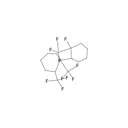 FC(F)(F)C1CCCCC1([C]1CCCCC1(F)C(F)(F)F)C(F)(F)F